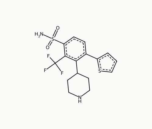 NS(=O)(=O)c1ccc(-c2cccs2)c(C2CCNCC2)c1C(F)(F)F